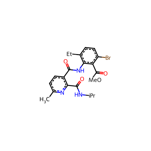 CCc1ccc(Br)c(C(=O)OC)c1NC(=O)c1ccc(C)nc1C(=O)NC(C)C